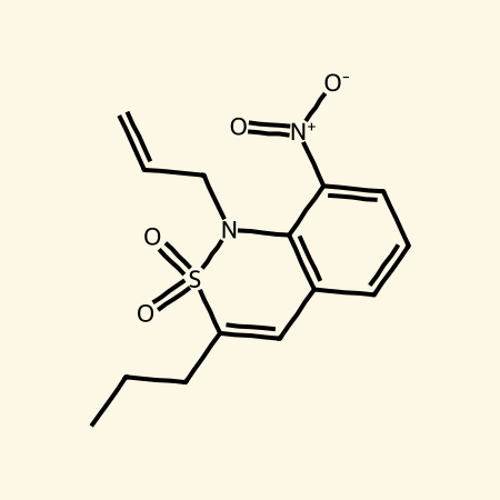 C=CCN1c2c(cccc2[N+](=O)[O-])C=C(CCC)S1(=O)=O